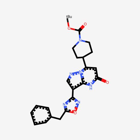 CC(C)(C)OC(=O)N1CCC(c2cc(=O)[nH]c3c(-c4noc(Cc5ccccc5)n4)cnn23)CC1